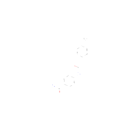 COc1ccc(CC(=O)Nc2ccc(C(=O)NO)cc2)cc1